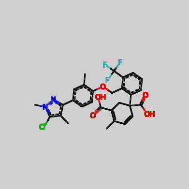 CC1=C(C(=O)O)CC(C(=O)O)(c2cccc(C(F)(F)F)c2COc2ccc(-c3nn(C)c(Cl)c3C)cc2C)C=C1